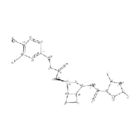 CC1NC(C)C(C(=O)NC2C[C@H](NC(=O)COc3ccc(Cl)c(F)c3)C3CCC23)O1